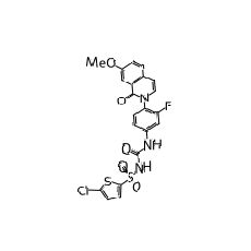 COc1ccc2ccn(-c3ccc(NC(=O)NS(=O)(=O)c4ccc(Cl)s4)cc3F)c(=O)c2c1